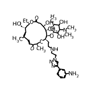 CC[C@H]1OC(=O)C[C@@H](O)[C@H](C)[C@@H](O[C@@H]2O[C@H](C)C(O)C(N(C)C)C2O)[C@@H](CCNCCn2cc(-c3cccc(N)c3)nn2)C[C@@H](C)C(=O)/C=C/C(C)=C/[C@@H]1CO